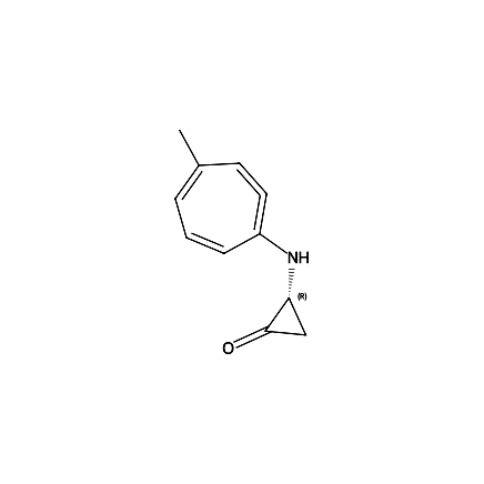 CC1=CC=CC(N[C@@H]2CC2=O)=C=C1